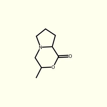 CC1CN2CCCC2C(=O)O1